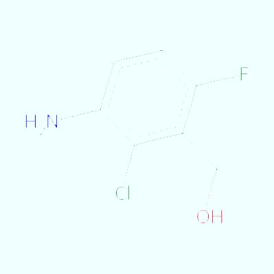 Nc1ccc(F)c(CO)c1Cl